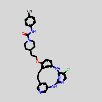 N#Cc1ccc(NC(=O)N2CCC(CCOc3ccc4cc3CCc3cncc(c3)Nc3ncc(Cl)c(n3)N4)CC2)cc1